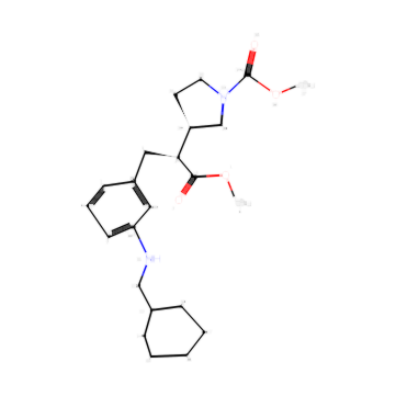 CC(C)(C)OC(=O)[C@@H](Cc1cccc(NCC2CCCCC2)c1)[C@H]1CCN(C(=O)OC(C)(C)C)C1